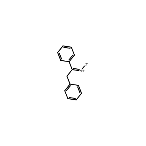 [O-][NH+]=C(Cc1ccccc1)c1ccccc1